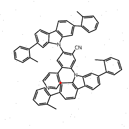 Cc1ccccc1-c1ccc2c3ccc(-c4ccccc4C)cc3n(-c3cc(-c4ccncc4)c(-n4c5cc(-c6ccccc6C)ccc5c5ccc(-c6ccccc6C)cc54)cc3C#N)c2c1